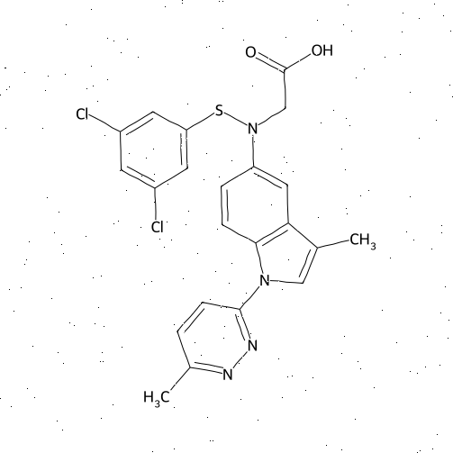 Cc1ccc(-n2cc(C)c3cc(N(CC(=O)O)Sc4cc(Cl)cc(Cl)c4)ccc32)nn1